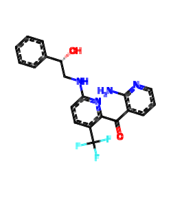 Nc1ncccc1C(=O)c1nc(NC[C@@H](O)c2ccccc2)ccc1C(F)(F)F